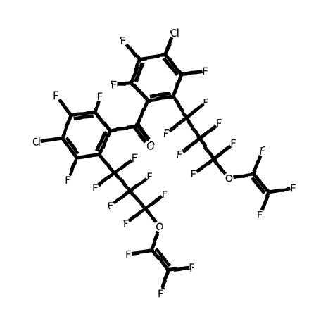 O=C(c1c(F)c(F)c(Cl)c(F)c1C(F)(F)C(F)(F)C(F)(F)OC(F)=C(F)F)c1c(F)c(F)c(Cl)c(F)c1C(F)(F)C(F)(F)C(F)(F)OC(F)=C(F)F